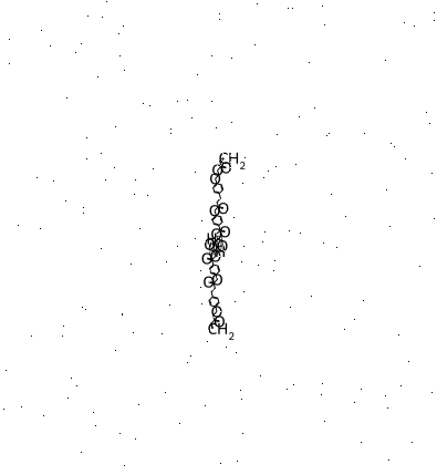 C=CC(=O)COc1ccc(CCC(=O)Oc2ccc(C(=O)O[C@H]3CO[C@H]4[C@@H]3OC[C@H]4OC(=O)c3ccc(OC(=O)CCc4ccc(OCOC(=O)C=C)cc4)cc3)cc2)cc1